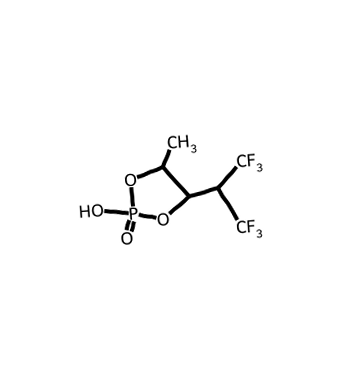 CC1OP(=O)(O)OC1C(C(F)(F)F)C(F)(F)F